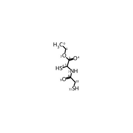 CCOC(=O)C(S)NC(=O)CS